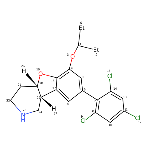 CCC(CC)Oc1cc(-c2c(Cl)cc(Cl)cc2Cl)cc2c1O[C@H]1CCNC[C@@H]21